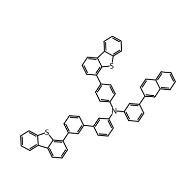 c1cc(-c2cccc(N(c3ccc(-c4cccc5c4sc4ccccc45)cc3)c3cccc(-c4ccc5ccccc5c4)c3)c2)cc(-c2cccc3c2sc2ccccc23)c1